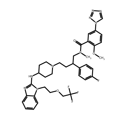 COc1ccc(-n2cnnn2)cc1C(=O)N(C)CC(CCN1CCC(Nc2nc3ccccc3n2CCOCC(F)(F)F)CC1)c1ccc(F)cc1